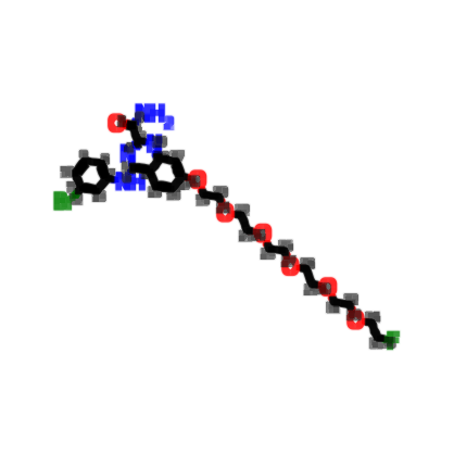 NC(=O)c1nc(Nc2cccc(Br)c2)c2c[c]c(OCCOCCOCCOCCOCCOCCF)cc2n1